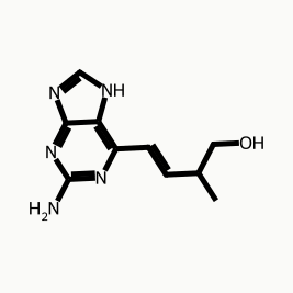 CC(/C=C/c1nc(N)nc2nc[nH]c12)CO